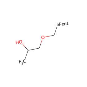 CCCCCCOCC(O)C(F)(F)F